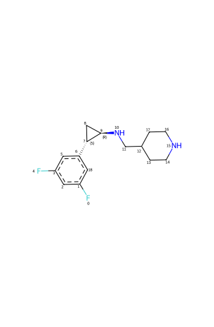 Fc1cc(F)cc([C@@H]2C[C@H]2NCC2CCNCC2)c1